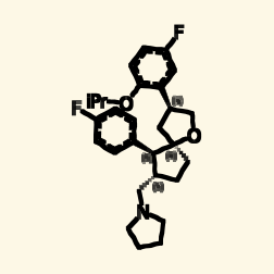 CC(C)Oc1ccc(F)cc1[C@H]1CO[C@]2(CC[C@H](CN3CCCC3)[C@H]2c2ccc(F)cc2)C1